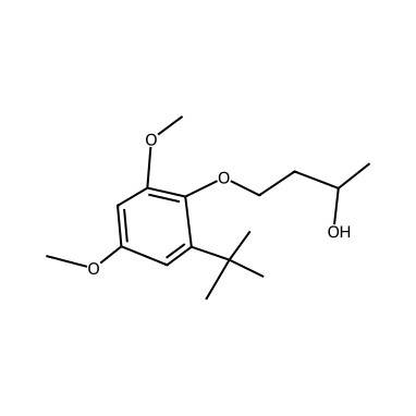 COc1cc(OC)c(OCCC(C)O)c(C(C)(C)C)c1